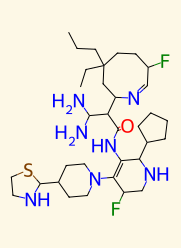 CCCC1(CC)CCC(F)/C=N\C(C(C(=O)NC2=C(N3CCC(C4NCCS4)CC3)C(F)CNC2C2CCCC2)C(N)N)C1